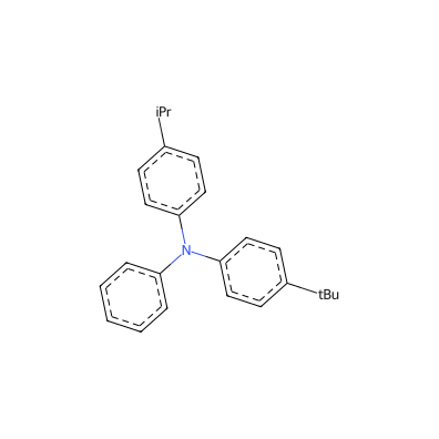 CC(C)c1ccc(N(c2ccccc2)c2ccc(C(C)(C)C)cc2)cc1